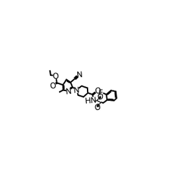 CCOC(=O)c1cc(C#N)c(N2CCC(C(=O)NS(=O)(=O)Cc3ccccc3F)CC2)nc1C